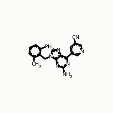 Cc1cccc(P)c1Cn1cnc2c(-c3cncc(C#N)c3)nc(N)nc21